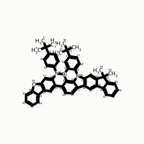 CC(C)(C)c1ccc(N2B3c4cc(C(C)(C)C)ccc4-n4c5cc6c(cc5c5ccc(c3c54)-c3cc4c(cc32)oc2ccccc24)-c2ccccc2C6(C)C)cc1